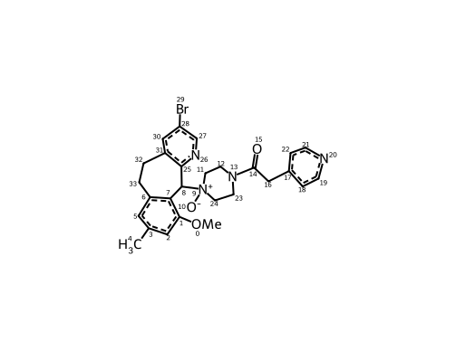 COc1cc(C)cc2c1C([N+]1([O-])CCN(C(=O)Cc3ccncc3)CC1)c1ncc(Br)cc1CC2